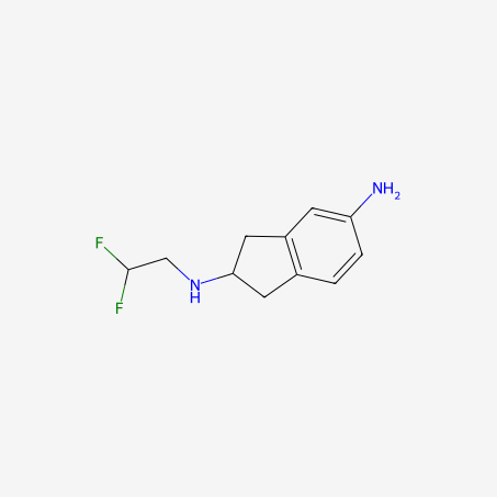 Nc1ccc2c(c1)CC(NCC(F)F)C2